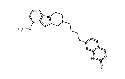 COc1cccc2c1cc1n2CCN(CCCOc2ccc3ccc(=O)[nH]c3c2)C1